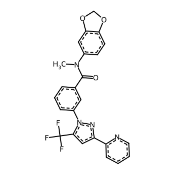 CN(C(=O)c1cccc(-n2nc(-c3ccccn3)cc2C(F)(F)F)c1)c1ccc2c(c1)OCO2